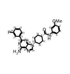 COc1cccc(NC(=O)[C@H]2CC[C@@H](n3cnc4c(N)nc(-c5cccc(F)c5)nc43)CC2)c1